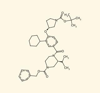 CC(C)[C@H]1CN(C(=O)OCc2ccccc2)CCN1C(=O)c1ccc(O[C@H]2CCN(C(=O)OC(C)(C)C)C2)c(C2CCCCC2)c1